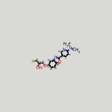 CN(C)c1ccc(-c2nc3cc(OC[C@@H](O)CF)ccc3o2)cn1